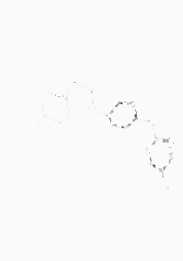 CC(CN1CCC(C(=O)O)CC1)Oc1ccc(Nc2ncc(Br)cn2)cc1